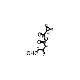 CC(CC=O)CC(=O)OC(=O)C1CC1